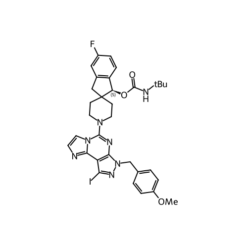 COc1ccc(Cn2nc(I)c3c2nc(N2CCC4(CC2)Cc2cc(F)ccc2[C@H]4OC(=O)NC(C)(C)C)n2ccnc32)cc1